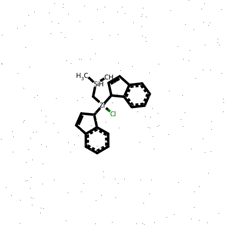 C[SiH](C)[CH2][Zr]([Cl])([CH]1C=Cc2ccccc21)[CH]1C=Cc2ccccc21